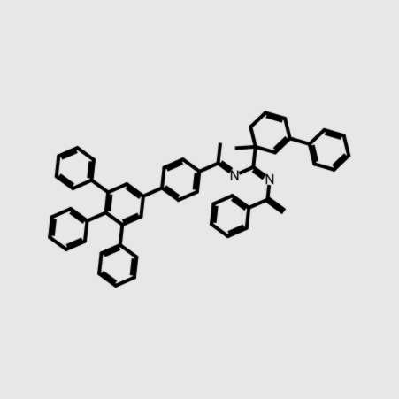 C=C(/N=C(\N=C(/C)c1ccc(-c2cc(-c3ccccc3)c(-c3ccccc3)c(-c3ccccc3)c2)cc1)C1(C)C=C(c2ccccc2)C=CC1)c1ccccc1